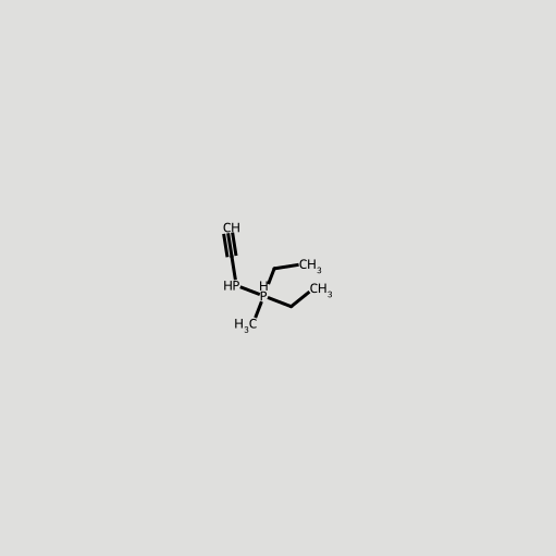 C#CP[PH](C)(CC)CC